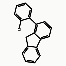 Clc1ccccc1-c1cccc2c1Cc1ccccc1-2